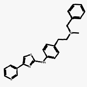 CN(CCc1ccc(Nc2nc(-c3cccnc3)cs2)cc1)Cc1ccccc1